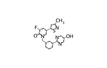 Cc1cc(-c2cc(F)c(=O)n(Cc3cccc(-c4ncc(O)cn4)c3)c2)sn1